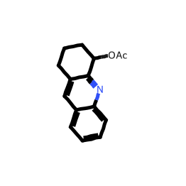 CC(=O)OC1CCCc2cc3ccccc3nc21